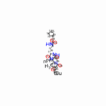 CCCN1C(=O)[C@H](CCCCNC(=O)OCc2ccccc2)NC(=O)C12CCN(C(=O)c1cc(C(C)(C)C)oc1C)CC2